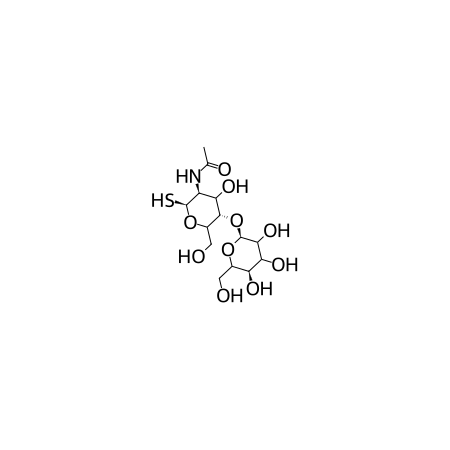 CC(=O)N[C@H]1C(O)[C@H](O[C@@H]2OC(CO)[C@H](O)C(O)C2O)C(CO)O[C@H]1S